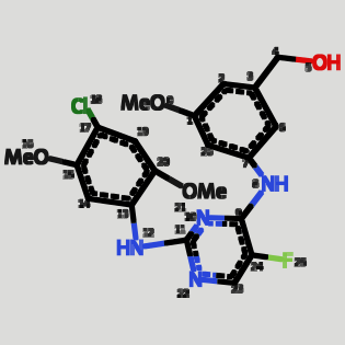 COc1cc(CO)cc(Nc2nc(Nc3cc(OC)c(Cl)cc3OC)ncc2F)c1